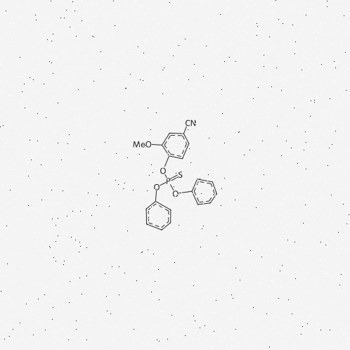 COc1cc(C#N)ccc1OP(=S)(Oc1ccccc1)Oc1ccccc1